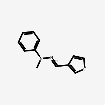 CN(/N=C/c1ccoc1)c1ccccc1